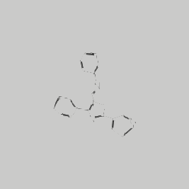 C(=N\c1ccccc1)/c1sc(-c2cccnc2)nc1-c1ccccc1